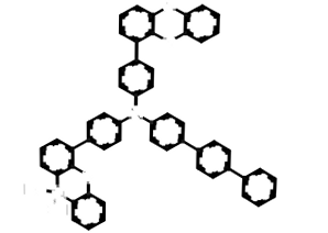 C[Si]1(C)c2ccccc2Sc2c(-c3ccc(N(c4ccc(-c5ccc(-c6ccccc6)cc5)cc4)c4ccc(-c5cccc6c5Sc5ccccc5S6)cc4)cc3)cccc21